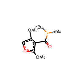 CCCCP(CCCC)C(=O)c1c(OC)coc1OC